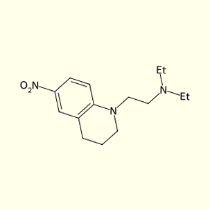 CCN(CC)CCN1CCCc2cc([N+](=O)[O-])ccc21